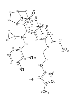 Cc1onc(OCCCc2ccc(OC3=C(C(=O)N(Cc4cccc(Cl)c4Cl)C4CC4)C4CCC(C3)N4C(=O)OCCCCO[N+](=O)[O-])cc2)c1F